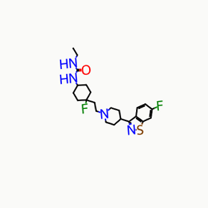 CCNC(=O)NC1CCC(F)(CCN2CCC(c3nsc4cc(F)ccc34)CC2)CC1